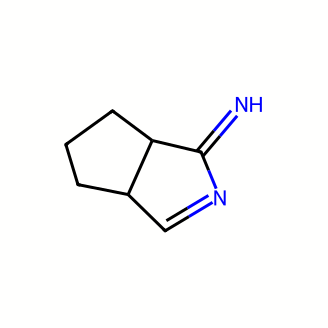 N=C1N=CC2CCCC12